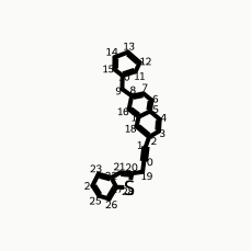 C(#Cc1ccc2ccc(Cc3ccccc3)cc2c1)Cc1cc2ccccc2s1